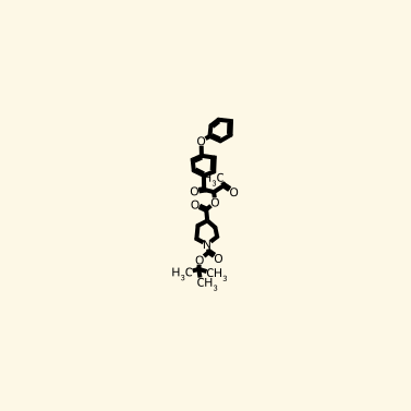 CC(=O)C(OC(=O)C1CCN(C(=O)OC(C)(C)C)CC1)C(=O)c1ccc(Oc2ccccc2)cc1